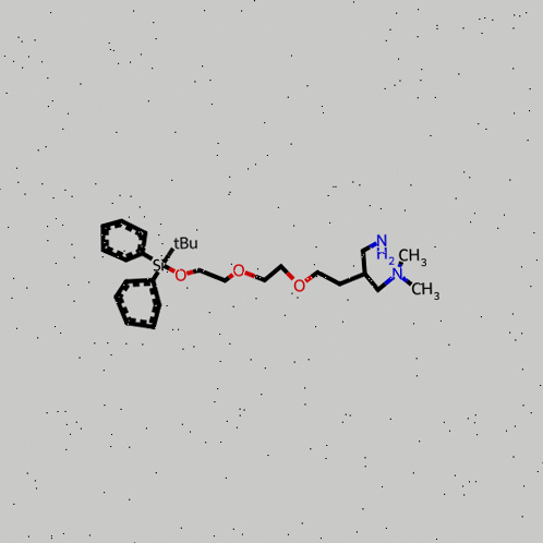 CN(C)CC(CN)CCOCCOCCO[Si](c1ccccc1)(c1ccccc1)C(C)(C)C